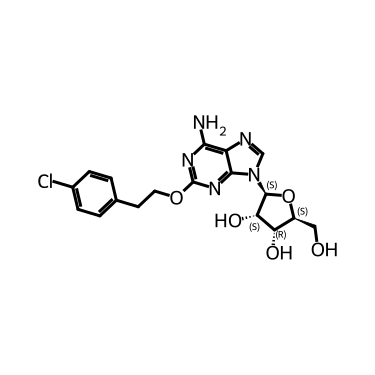 Nc1nc(OCCc2ccc(Cl)cc2)nc2c1ncn2[C@H]1O[C@@H](CO)[C@H](O)[C@@H]1O